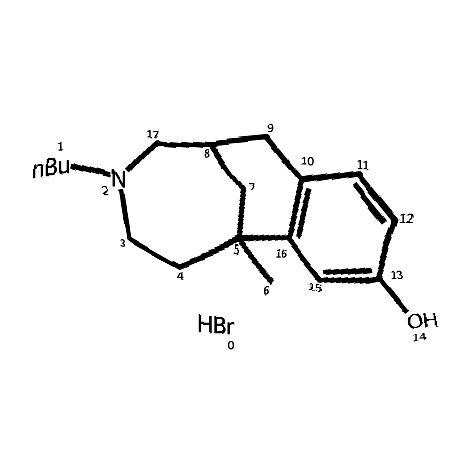 Br.CCCCN1CCC2(C)CC(Cc3ccc(O)cc32)C1